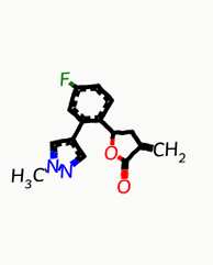 C=C1CC(c2ccc(F)cc2-c2cnn(C)c2)OC1=O